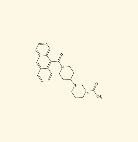 CC(=O)[C@@H]1CCCN(C2CCN(C(=O)c3c4ccccc4cc4ccccc34)CC2)C1